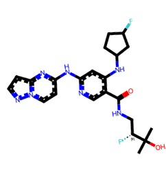 CC(C)(O)[C@H](F)CNC(=O)c1cnc(Nc2ccn3nccc3n2)cc1NC1CCC(F)C1